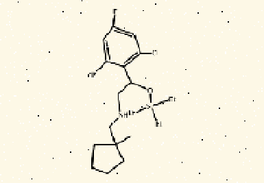 CC[Si](CC)(CC)OC(CNCC1(C)CCCC1)c1c(Cl)cc(F)cc1Cl